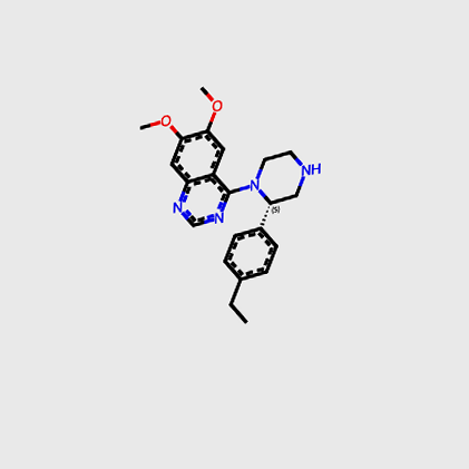 CCc1ccc([C@H]2CNCCN2c2ncnc3cc(OC)c(OC)cc23)cc1